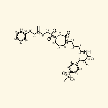 CC(Cc1ccc(S(C)(=O)=O)cc1)C(C)NCCCCN1CCCN(S(=O)(=O)CCNCCc2ccccc2)CC1=O